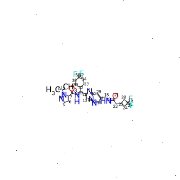 CC(C)n1nccc1C(=O)N[C@H](c1cn2ncc(CNC(=O)CC3CC(F)(F)C3)cc2n1)C1CCC(F)(F)CC1